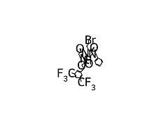 O=C1[C@H](CCBr)N2C(=O)CCN(C(=O)OCc3cc(C(F)(F)F)cc(C(F)(F)F)c3)[C@H]2CN1Cc1ccccc1